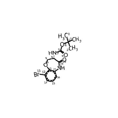 CC(C)(C)OC(=O)N[C@H]1COc2c(Br)cccc2NC1=O